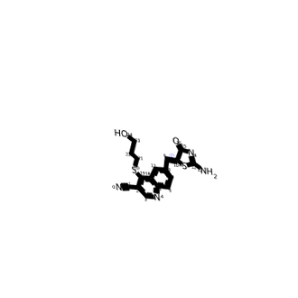 N#Cc1cnc2ccc(/C=C3\SC(N)=NC3=O)cc2c1SCCCO